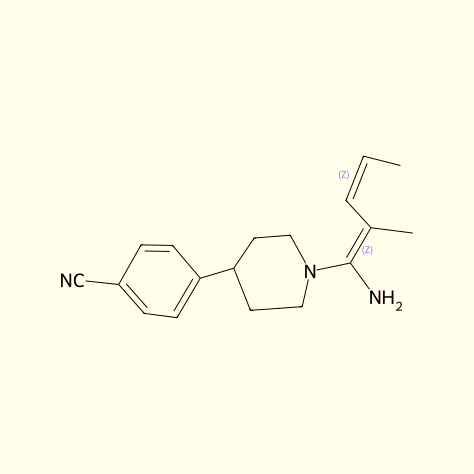 C/C=C\C(C)=C(\N)N1CCC(c2ccc(C#N)cc2)CC1